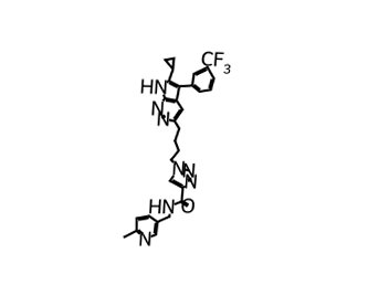 Cc1ccc(CNC(=O)c2cn(CCCCc3cc4c(-c5cccc(C(F)(F)F)c5)c(C5CC5)[nH]c4nn3)nn2)cn1